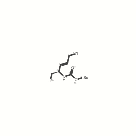 CC(C)C[C@@H](C=CCCl)NC(=O)OC(C)(C)C